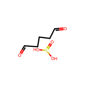 O=CCCCC=O.O=S(O)O